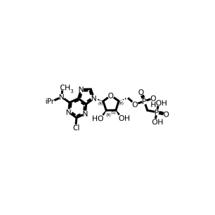 CC(C)N(C)c1nc(Cl)nc2c1ncn2[C@@H]1O[C@H](COP(=O)(O)CP(=O)(O)O)[C@@H](O)[C@H]1O